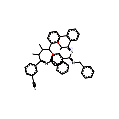 CCC(C)/C(=N\C(=N/Cc1ccccc1)c1ccccc1)c1ccccc1-c1cccc(C2N=C(c3ccccc3)N=C(c3cccc(C#N)c3)C(C)C2C)c1